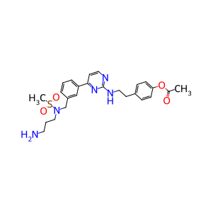 CC(=O)Oc1ccc(CCNc2nccc(-c3cccc(CN(CCCN)S(C)(=O)=O)c3)n2)cc1